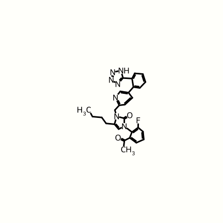 CCCCc1cn(-c2c(F)cccc2C(C)=O)c(=O)n1Cc1ccc(-c2ccccc2-c2nnn[nH]2)cn1